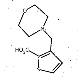 O=C(O)c1sccc1CN1CCOCC1